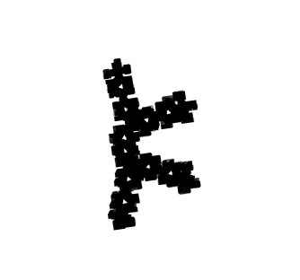 CC(C)(C)c1ccc(-c2ccc3c(c2)c2cc(-c4ccc(C(C)(C)C)cc4)ccc2n3-c2ccc3ccc(-n4c5ccc(-c6ccc(C(C)(C)C)cc6)cc5c5cc(-c6ccc(C(C)(C)C)cc6)ccc54)cc3c2)cc1